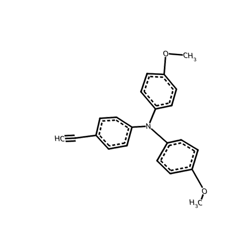 C#Cc1ccc(N(c2ccc(OC)cc2)c2ccc(OC)cc2)cc1